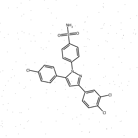 NS(=O)(=O)c1ccc(-n2nc(-c3ccc(Cl)c(Cl)c3)cc2-c2ccc(Cl)cc2)cc1